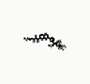 C=CCNC(=O)Nc1ccc2ncc(-c3ccc(N(C)C(=O)OC(C)(C)C)s3)nc2n1